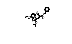 CCOc1cccn2c(C=C(C#N)C(=O)OCc3ccccc3)c(OC(C)C)nc12